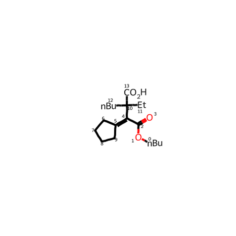 CCCCOC(=O)C(=C1CCCC1)C(CC)(CCCC)C(=O)O